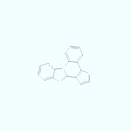 c1ccc2c(c1)nc1c3cc[nH]c3c3ccccc3n21